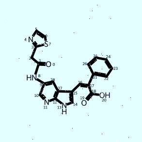 O=C(Cc1nccs1)Nc1cnc2[nH]cc(/C=C(\C(=O)O)c3ccccc3)c2c1